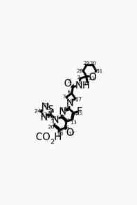 CC1(CNC(=O)C2CN(c3nc4c(cc3F)c(=O)c(C(=O)O)cn4-c3ncns3)C2)CCCCO1